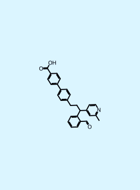 Cc1cc(C(CCc2ccc(-c3ccc(C(=O)O)cc3)cc2)c2ccccc2C=O)ccn1